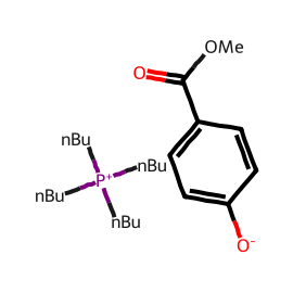 CCCC[P+](CCCC)(CCCC)CCCC.COC(=O)c1ccc([O-])cc1